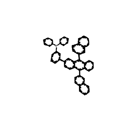 c1ccc(P(c2ccccc2)c2cccc(-c3ccc4c(-c5ccc6ccccc6c5)c5ccccc5c(-c5ccc6ccccc6c5)c4c3)c2)cc1